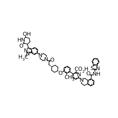 Cc1c(O[C@H]2CC[C@H](CC(=O)N3CCN(c4ccc5c(C6CCC(O)NC6=O)nn(C)c5c4)CC3)CC2)cccc1-c1ccc(N2CCc3cccc(C(=O)Nc4nc5ccccc5s4)c3C2)nc1C(=O)O